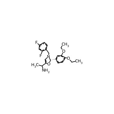 CCOc1ccc([C@@H]2OC(C(C)N)=CN2Cc2ccc(F)cc2F)cc1OCC